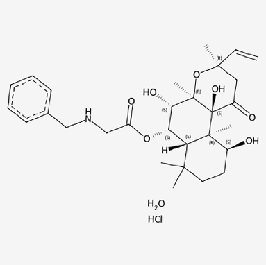 C=C[C@@]1(C)CC(=O)[C@]2(O)[C@@]3(C)[C@@H](O)CCC(C)(C)[C@@H]3[C@H](OC(=O)CNCc3ccccc3)[C@H](O)[C@@]2(C)O1.Cl.O